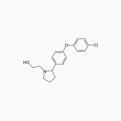 OCCN1CCCC1c1ccc(Oc2ccc(Cl)cc2)cc1